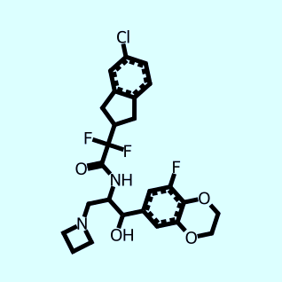 O=C(NC(CN1CCC1)C(O)c1cc(F)c2c(c1)OCCO2)C(F)(F)C1Cc2ccc(Cl)cc2C1